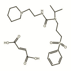 CC(C)N(CCCS(=O)(=O)c1ccccc1)C(=O)NCCN1CCCCC1.O=C(O)C=CC(=O)O